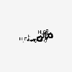 CCNCCOc1ccc(NC(=O)c2ccccc2S(C)(=O)=O)cc1